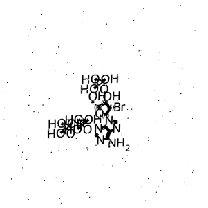 Nc1ncnc2c1ncn2[C@@H]1O[C@H](CO)[C@@H](O)[C@@H]1Br.O=P(O)(O)O.O=P(O)(O)O.O=P(O)(O)O